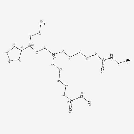 CC(C)CNC(=O)CCCCCN(CCCCCC(=O)OCl)CCN(CCO)C1CCCC1